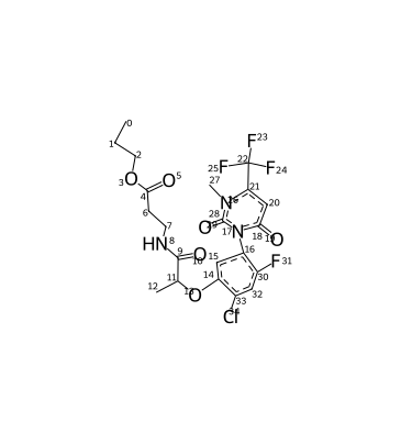 CCCOC(=O)CCNC(=O)C(C)Oc1cc(-n2c(=O)cc(C(F)(F)F)n(C)c2=O)c(F)cc1Cl